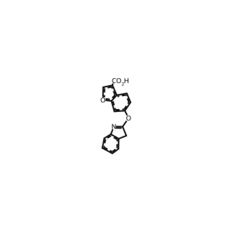 O=C(O)c1coc2cc(OC3=Nc4ccccc4C3)ccc12